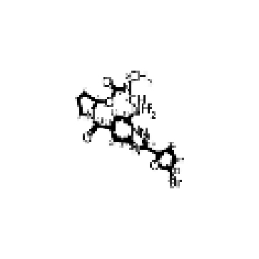 CN(C)C(=O)OC1CCCN1C(=O)c1cc(N)n2nc(-c3ccc(Br)o3)nc2c1